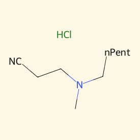 CCCCCCN(C)CCC#N.Cl